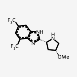 CO[C@H]1CN[C@@H](c2nc3c(C(F)(F)F)cc(C(F)(F)F)cc3[nH]2)C1